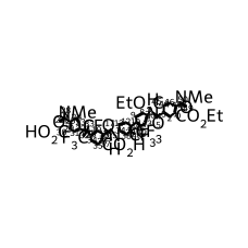 CCOC(=O)c1cc(C(=O)Nc2ccc(-c3ccc(NC(=O)c4cc(C(c5ccc(C(=O)NC)c(C(=O)O)c5)(C(F)(F)F)C(F)(F)F)ccc4C(=O)O)cc3C(F)(F)F)c(C(F)(F)F)c2)c(C(=O)OCC)cc1C(=O)NC